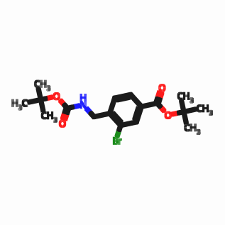 CC(C)(C)OC(=O)NCc1ccc(C(=O)OC(C)(C)C)cc1Br